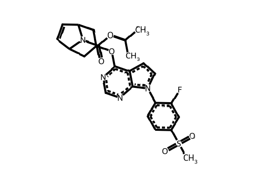 CC(C)OC(=O)N1C2C=CC1CC(Oc1ncnc3c1ccn3-c1ccc(S(C)(=O)=O)cc1F)C2